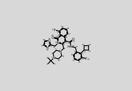 CC(C)(C)N1CCN(Cc2c(C(=O)NCc3cccc(F)c3C3CCC3)c3cccc(F)c3c(=O)n2Cc2ncco2)CC1